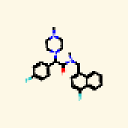 CN1CCN(C(C(=O)N(C)Cc2ccc(F)c3ccccc23)c2ccc(F)cc2)CC1